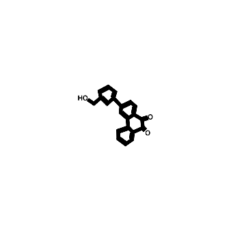 O=C1C(=O)c2ccc(-c3cccc(CO)c3)cc2-c2ccccc21